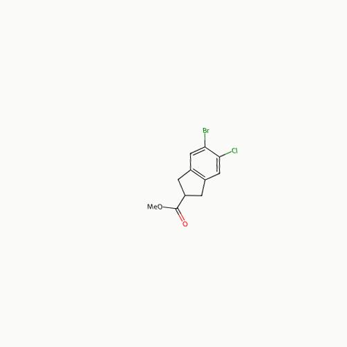 COC(=O)C1Cc2cc(Cl)c(Br)cc2C1